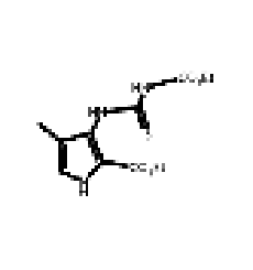 CCOC(=O)NC(=S)Nc1c(C)c[nH]c1C(=O)OCC